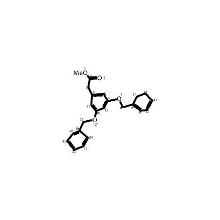 COC(=O)Cc1cc(OCC2=CC=CCC2)cc(OCc2ccccc2)c1